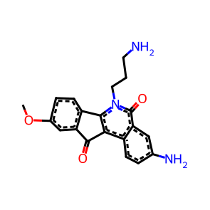 COc1ccc2c(c1)C(=O)c1c-2n(CCCN)c(=O)c2cc(N)ccc12